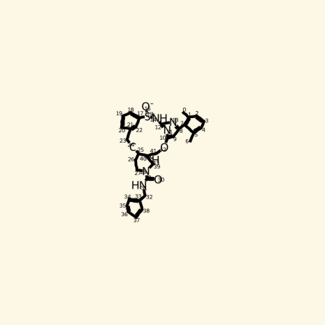 Cc1cccc(C)c1-c1cc2nc(n1)N[S+]([O-])c1cccc(c1)CCC1CCN(C(=O)NCc3ccccc3)C[C@@H]1CO2